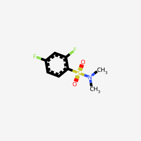 CN(C)S(=O)(=O)c1ccc(F)cc1F